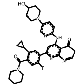 O=C1CC=Nc2nc(-c3cc(C4CC4)c(C(=O)N4CCCCC4)cc3F)cc(Nc3ccc(N4CCC(O)CC4)cn3)c21